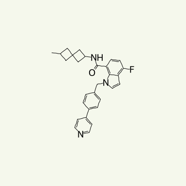 CC1CC2(C1)CC(NC(=O)c1ccc(F)c3ccn(Cc4ccc(-c5ccncc5)cc4)c13)C2